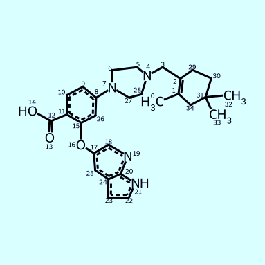 CC1=C(CN2CCN(c3ccc(C(=O)O)c(Oc4cnc5[nH]ccc5c4)c3)CC2)CCC(C)(C)C1